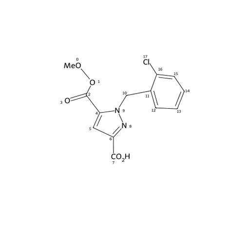 COOC(=O)c1cc(C(=O)O)nn1Cc1ccccc1Cl